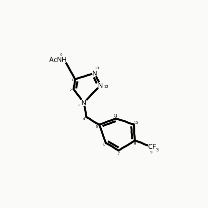 CC(=O)Nc1cn(Cc2ccc(C(F)(F)F)cc2)nn1